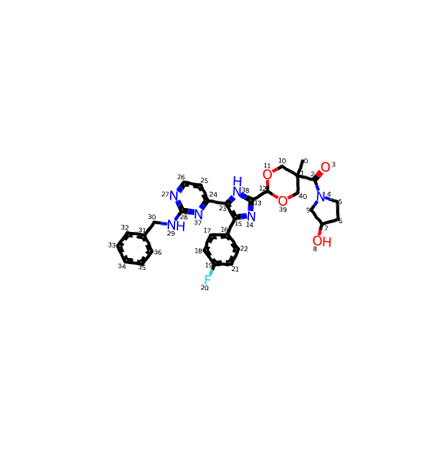 CC1(C(=O)N2CCC(O)C2)COC(c2nc(-c3ccc(F)cc3)c(-c3ccnc(NCc4ccccc4)n3)[nH]2)OC1